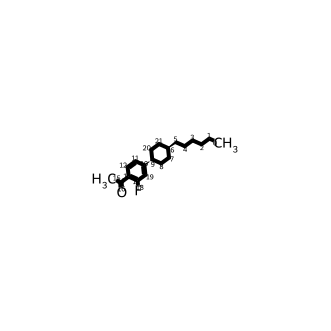 CCCCCC[C@H]1CC[C@H](c2ccc(C(C)=O)c(F)c2)CC1